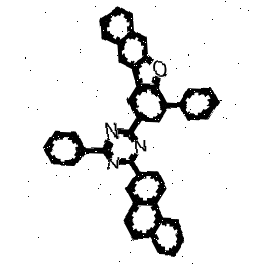 c1ccc(-c2nc(-c3ccc4c(ccc5ccccc54)c3)nc(-c3cc(-c4ccccc4)c4oc5cc6ccccc6cc5c4c3)n2)cc1